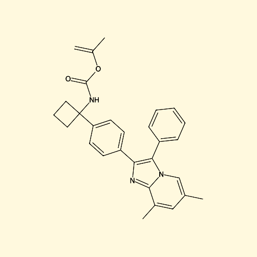 C=C(C)OC(=O)NC1(c2ccc(-c3nc4c(C)cc(C)cn4c3-c3ccccc3)cc2)CCC1